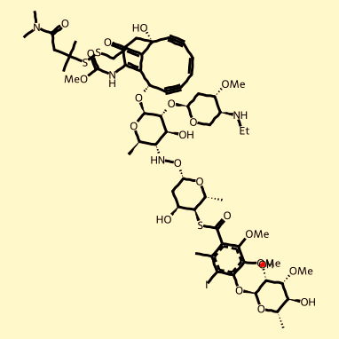 CCN[C@H]1CO[C@@H](O[C@H]2[C@H](O[C@H]3C#CC=CC#C[C@]4(O)CC(=O)C(NC(=O)OC)=C3/C4=C\CSSC(C)(C)CC(=O)N(C)C)O[C@H](C)[C@@H](NO[C@H]3C[C@H](O)[C@H](SC(=O)c4c(C)c(I)c(O[C@@H]5O[C@@H](C)[C@H](O)[C@@H](OC)[C@H]5O)c(OC)c4OC)[C@@H](C)O3)[C@@H]2O)C[C@@H]1OC